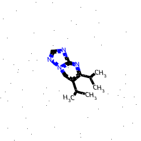 CC(C)c1cn2ncnc2nc1C(C)C